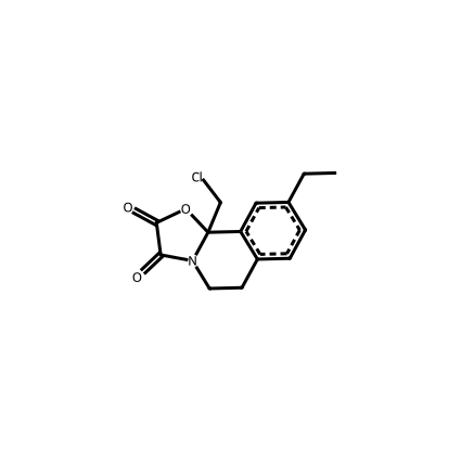 CCc1ccc2c(c1)C1(CCl)OC(=O)C(=O)N1CC2